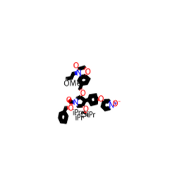 COCCCN1C(=O)COc2ccc(COC3CN(C(=O)OCc4ccccc4)CC(O[Si](C(C)C)(C(C)C)C(C)C)C3c3ccc(Oc4ccc[n+]([O-])c4)cc3)cc21